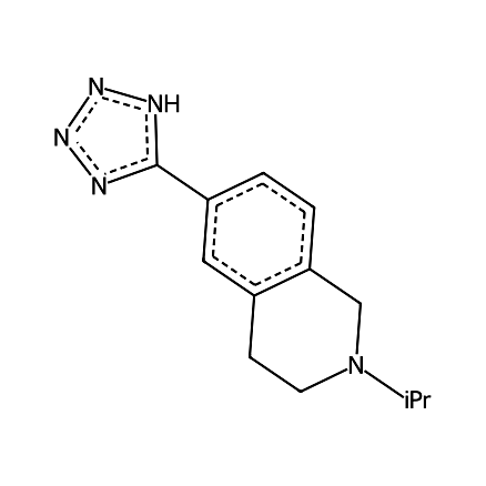 CC(C)N1CCc2cc(-c3nnn[nH]3)ccc2C1